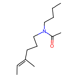 C/C=C(\C)CCCN(CCCC)C(C)=O